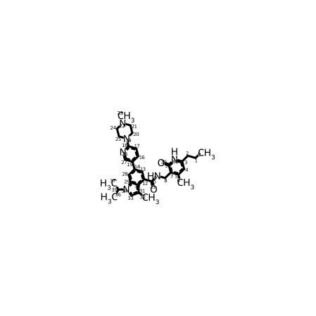 CCCc1cc(C)c(CNC(=O)c2cc(-c3ccc(N4CCN(C)CC4)nc3)cc3c2c(C)cn3C(C)C)c(=O)[nH]1